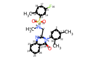 Cc1ccc(-n2c(CN(C)S(=O)(=O)c3cc(F)ccc3C)nc3ccccc3c2=O)c(C)c1